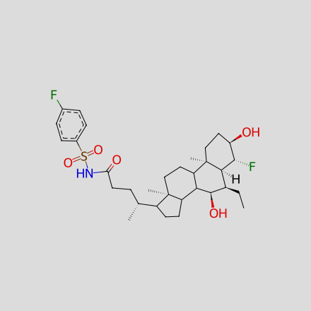 CC[C@@H]1[C@@H]2[C@@H](F)[C@H](O)CC[C@]2(C)C2CC[C@@]3(C)C(CCC3[C@H](C)CCC(=O)NS(=O)(=O)c3ccc(F)cc3)C2[C@@H]1O